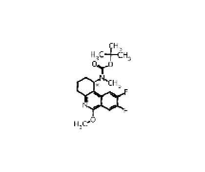 COc1nc2c(c3cc(F)c(F)cc13)[C@H](N(C)C(=O)OC(C)(C)C)CCC2